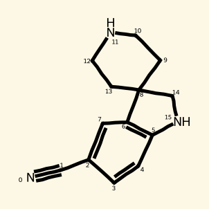 N#Cc1ccc2c(c1)C1(CCNCC1)CN2